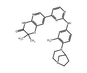 Cc1cc(Nc2nccc(-c3cnc4c(c3)OC(C)(C)C(=O)N4)n2)ccc1N1CCN2CCC1C2